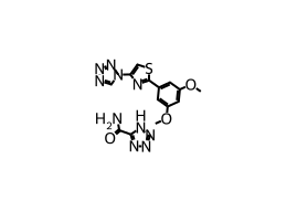 COc1cc(OC)cc(-c2nc(-n3cnnn3)cs2)c1.NC(=O)c1nnn[nH]1